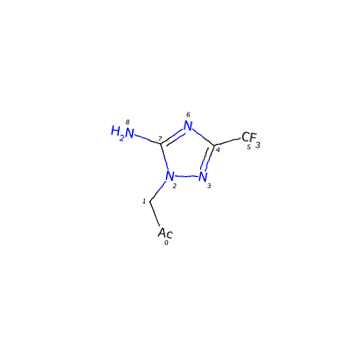 CC(=O)Cn1nc(C(F)(F)F)nc1N